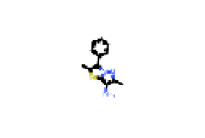 Cc1nn2c(-c3ccccc3)c(C)sc2c1N